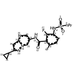 CCCS(=O)(=O)Nc1ccc(F)c(C(=O)Nc2cnc3cc(C4CC4)nn3c2)c1F